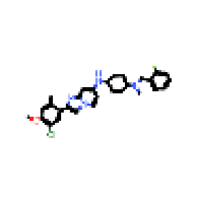 COc1cc(C)c(-c2cn3ccc(NC4CCC(N(C)Cc5ccccc5F)CC4)cc3n2)cc1Cl